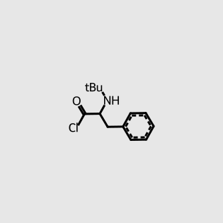 CC(C)(C)NC(Cc1ccccc1)C(=O)Cl